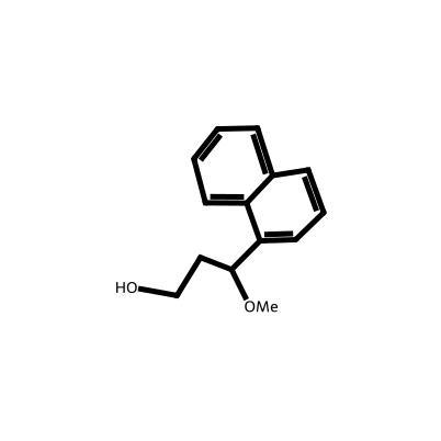 COC(CCO)c1cccc2ccccc12